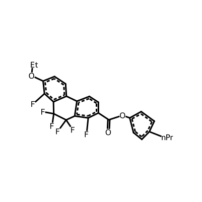 CCCc1ccc(OC(=O)c2ccc3c(c2F)C(F)(F)C(F)(F)c2c-3ccc(OCC)c2F)cc1